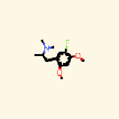 COc1cc(OC)c(C[C@@H](C)N(C)C)cc1F